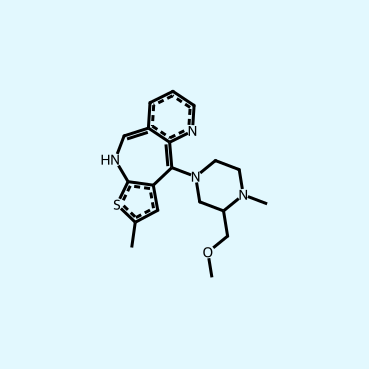 COCC1CN(C2=c3ncccc3=CNc3sc(C)cc32)CCN1C